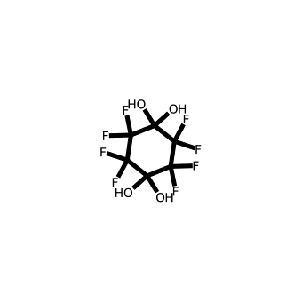 OC1(O)C(F)(F)C(F)(F)C(O)(O)C(F)(F)C1(F)F